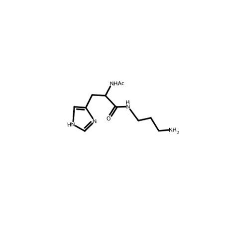 CC(=O)NC(Cc1c[nH]cn1)C(=O)NCCCN